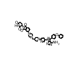 Nc1ncnc2c1c(-c1ccc(Oc3ccccc3)cc1)nn2-c1ccc(N2CCC(CN3CCN(c4ccc5c(c4)C(=O)N(C4CCC(=O)NC4=O)C5=O)CC3)CC2)nc1